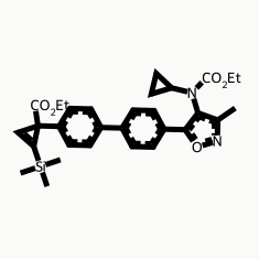 CCOC(=O)N(c1c(C)noc1-c1ccc(-c2ccc(C3(C(=O)OCC)C=C3[Si](C)(C)C)cc2)cc1)C1CC1